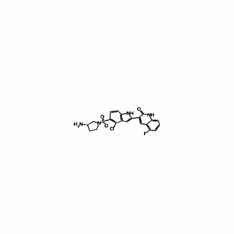 NC1CCN(S(=O)(=O)c2ccc3[nH]c(-c4cc5c(F)cccc5[nH]c4=O)cc3c2Cl)C1